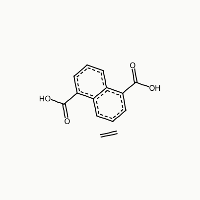 C=C.O=C(O)c1cccc2c(C(=O)O)cccc12